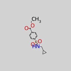 CCOC(=O)c1ccc(S(=O)(=O)NCC2CC2)cc1